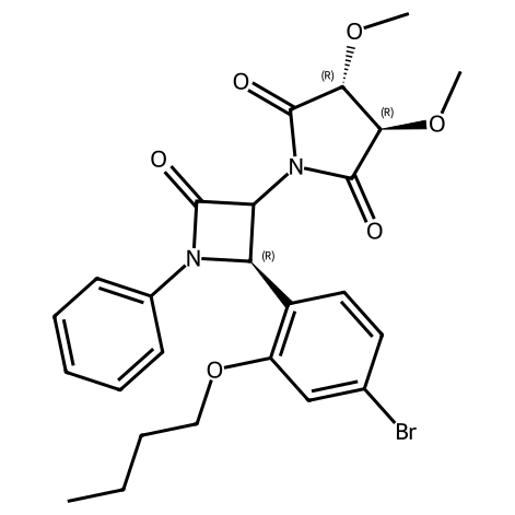 CCCCOc1cc(Br)ccc1[C@@H]1C(N2C(=O)[C@H](OC)[C@@H](OC)C2=O)C(=O)N1c1ccccc1